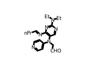 [CH2]CCC=Nc1nc(N(CC)CC)ncc1N(CC=O)c1ccncc1